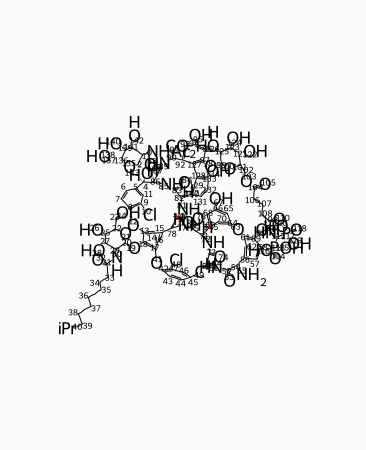 CC(=O)N[C@H]1[C@H](O[C@@H]2c3ccc(c(Cl)c3)Oc3cc4cc(c3O[C@@H]3O[C@H](CO)[C@@H](O)[C@H](O)[C@H]3NC(=O)CCCCCCCC(C)C)Oc3ccc(cc3Cl)C[C@H]3NC(=O)[C@H](N)c5ccc(O)c(c5)Oc5cc(O)cc(c5)[C@H](NC3=O)C(=O)N[C@H]4C(=O)N[C@H]3C(=O)N[C@@H]2C(=O)N[C@@H](C(=O)O)c2cc(O)cc(O[C@H]4O[C@H](COC(=O)CCCC(=O)NC(P(=O)(O)O)P(=O)(O)O)[C@@H](O)[C@H](O)[C@@H]4O)c2-c2cc3ccc2O)O[C@H](CO)[C@@H](O)[C@@H]1O